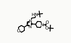 CC(C)(C)NCCn1cc(C2CCOCC2)nc1C1CCN(C(=O)OC(C)(C)C)CC1